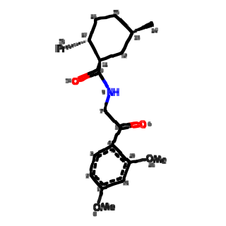 COc1ccc(C(=O)CNC(=O)[C@@H]2C[C@H](C)CC[C@H]2C(C)C)c(OC)c1